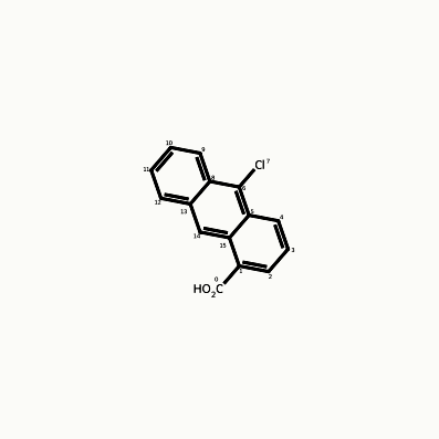 O=C(O)c1cccc2c(Cl)c3ccccc3cc12